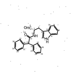 O=C[C@H](Cc1c[nH]c2ccccc12)NC(=O)C(c1ccccc1)c1ccccc1